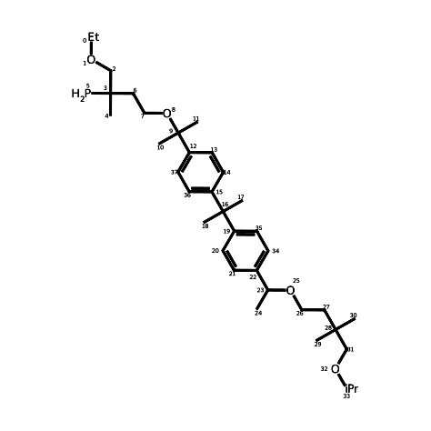 CCOCC(C)(P)CCOC(C)(C)c1ccc(C(C)(C)c2ccc(C(C)OCCC(C)(C)COC(C)C)cc2)cc1